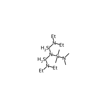 CCN(CC)[SiH2]N([SiH2]N(CC)CC)[Si](C)(C)N(C)C